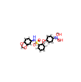 O=S(=O)(Nc1ccc2c(c1)OCO2)c1ccccc1Oc1ccc(N(O)O)cc1